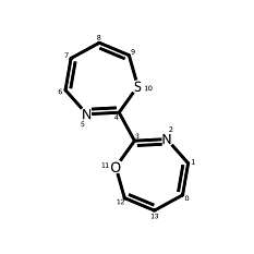 C1=CN=C(C2=NC=CC=CS2)OC=C1